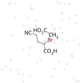 CC(=O)O.N#CCCC(Br)C(=O)O